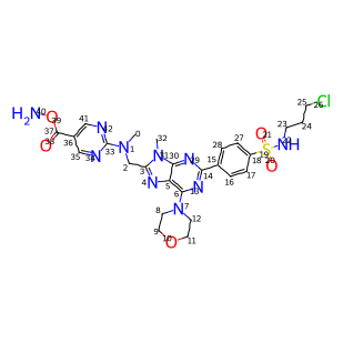 CN(Cc1nc2c(N3CCOCC3)nc(-c3ccc(S(=O)(=O)NCCCCl)cc3)nc2n1C)c1ncc(C(=O)ON)cn1